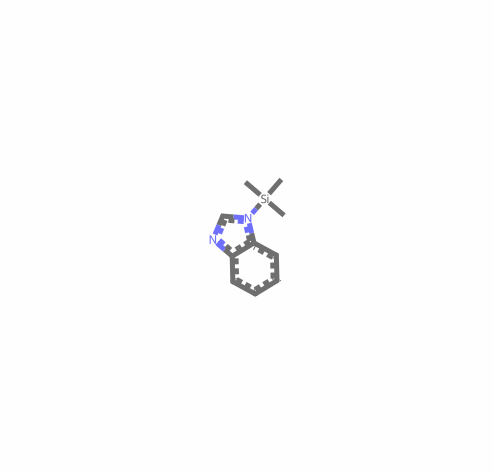 C[Si](C)(C)n1cnc2cc[c]cc21